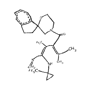 C=N/C(NC1(C)CC1)=C(\C)C(C(=O)N1CCOC2(CCc3ccccc32)C1)=C(C)C